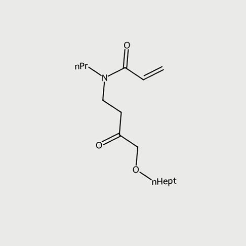 C=CC(=O)N(CCC)CCC(=O)COCCCCCCC